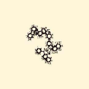 c1ccc(-c2nc(-n3c4ccc(-c5ccc6sc7ccc8c(ccc9c8c8cccc%10c%11ccccc%11n9c%108)c7c6c5)cc4c4c5ccccc5ccc43)nc3c2ccc2ccccc23)cc1